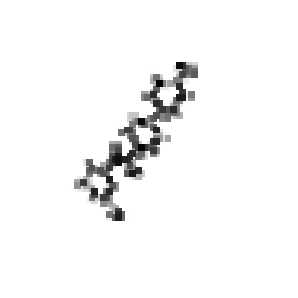 O=C(Nc1cncc(Br)c1)c1ccc(-c2ccc(O)cc2)cc1